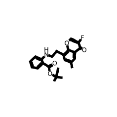 Cc1cc(CCNc2ccccc2C(=O)OC(C)(C)C)c2occ(F)c(=O)c2c1